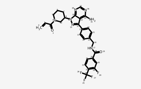 C=CC(=O)N1CCCC(n2nc(-c3ccc(CNC(=O)c4ccc(C(F)(F)F)c(F)c4)cc3)c3c(N)ncnc32)C1